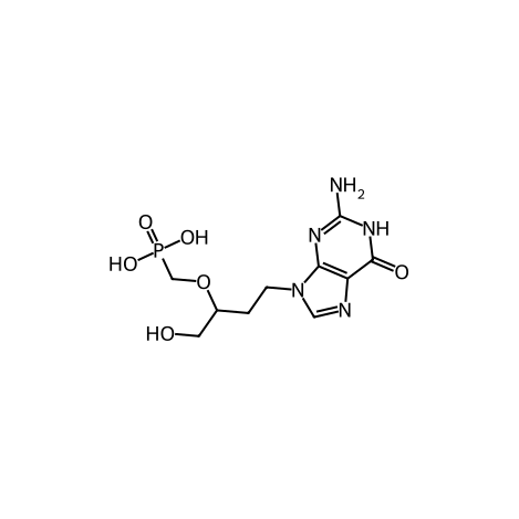 Nc1nc2c(ncn2CCC(CO)OCP(=O)(O)O)c(=O)[nH]1